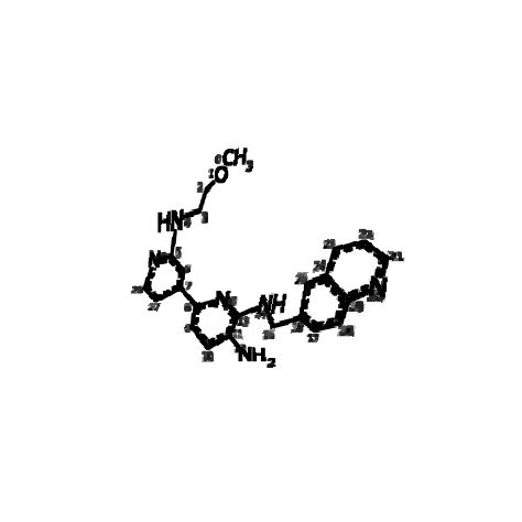 COCCNc1cc(-c2ccc(N)c(NCc3ccc4ncccc4c3)n2)ccn1